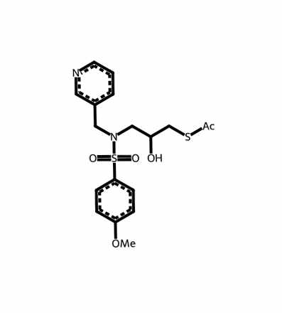 COc1ccc(S(=O)(=O)N(Cc2cccnc2)CC(O)CSC(C)=O)cc1